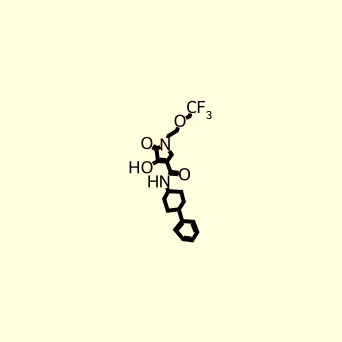 O=C(NC1CCC(c2ccccc2)CC1)C1=C(O)C(=O)N(CCOCC(F)(F)F)C1